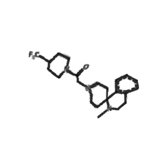 CN1CCc2ccccc2C12CCN(CC(=O)N1CCC(C(F)(F)F)CC1)CC2